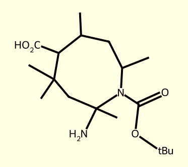 CC1CC(C)N(C(=O)OC(C)(C)C)C(C)(N)CC(C)(C)C1C(=O)O